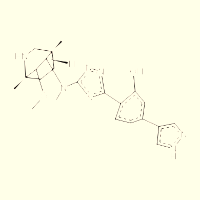 COC1[C@@H](N(C)c2nnc(-c3ccc(-c4cn[nH]c4)cc3O)s2)[C@@]2(C)CC[C@]1(C)NC2